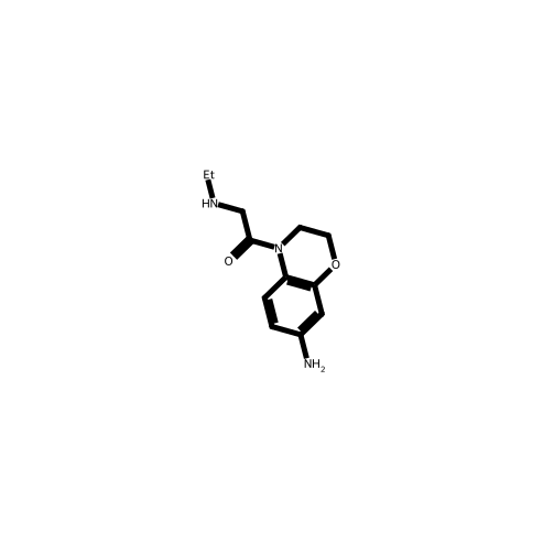 CCNCC(=O)N1CCOc2cc(N)ccc21